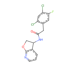 O=C(Cc1cc(F)c(Cl)cc1Cl)NC1COc2ncccc21